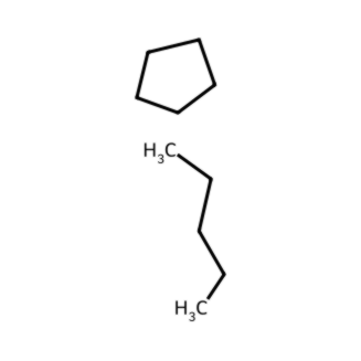 C1CCCC1.CCCCC